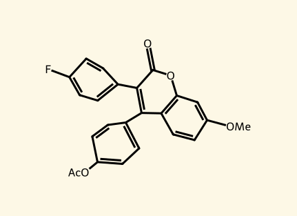 COc1ccc2c(-c3ccc(OC(C)=O)cc3)c(-c3ccc(F)cc3)c(=O)oc2c1